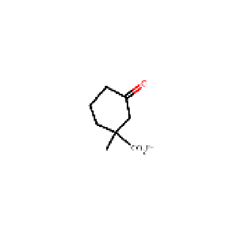 CCOC(=O)C1(C)CCCC(=O)C1